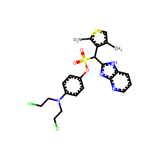 Cc1csc([N+](=O)[O-])c1C(c1nc2ncccc2[nH]1)S(=O)(=O)Oc1ccc(N(CCCl)CCCl)cc1